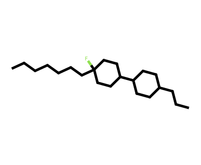 CCCCCCCC1(F)CCC(C2CCC(CCC)CC2)CC1